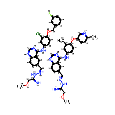 COCC(=N)N/N=C/c1ccc2ncnc(Nc3ccc(Oc4ccc(C)nc4)c(C)c3)c2c1.COCC(=N)N/N=C\c1ccc2ncnc(Nc3ccc(OCc4cccc(F)c4)c(Cl)c3)c2c1